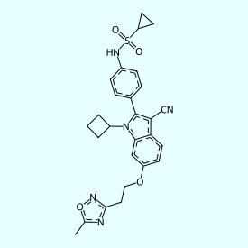 Cc1nc(CCOc2ccc3c(C#N)c(-c4ccc(NS(=O)(=O)C5CC5)cc4)n(C4CCC4)c3c2)no1